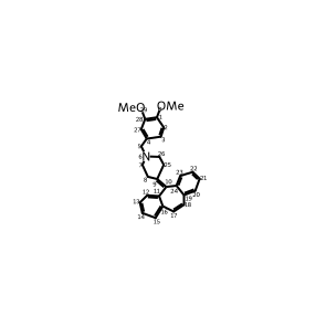 COc1ccc(CN2CCC(=C3c4ccccc4C=Cc4ccccc43)CC2)cc1OC